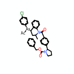 CC(=O)[As](c1ccc(Cl)cc1)C1CC(C)N(C(=O)c2ccc(C3CCCN3C(=O)OCc3ccccc3)cc2)c2ccccc21